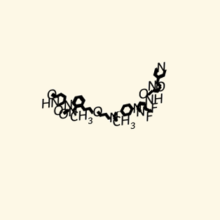 CN(CCCOCCCc1cccc2c1n(C)c(=O)n2C1CCC(=O)NC1=O)C[C@H]1CC[C@H](n2cc(NC(=O)c3coc(-c4ccncc4)n3)c(C(F)F)n2)CC1